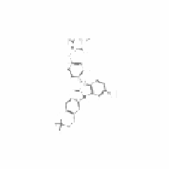 Cn1nnn(Cc2ccc(N3C(=O)[C@@](C)(c4ccc5c(c4)CCC(C)(C)O5)c4cc(Cl)ccc43)cc2)c1=O